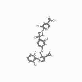 O=C(O)c1cnc(N2CC(O)(c3ccc(OCc4c(C5CC5)cnn4-c4c(Cl)cccc4Cl)cc3Cl)C2)c(F)c1